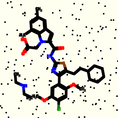 CCNCC.COc1cc(-c2nc(NC(=O)c3cc4cc(C)cc(C)c4n3CC(=O)O)sc2CCC2CCCCC2)c(OC)cc1Cl